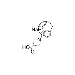 O=C(O)C1CCN(CCCc2cc3ccc2CCc2ccc(cc2)CC3)CC1.[NaH]